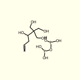 C=CCC(O)C(CO)(CO)CO.OP(O)OP(O)O